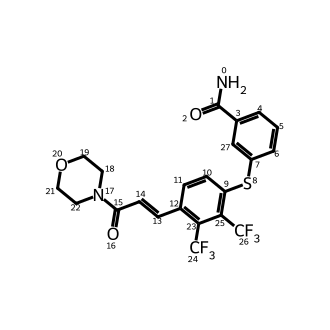 NC(=O)c1cccc(Sc2ccc(C=CC(=O)N3CCOCC3)c(C(F)(F)F)c2C(F)(F)F)c1